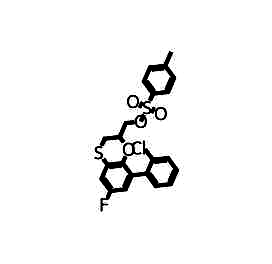 Cc1ccc(S(=O)(=O)OCC2CSc3cc(F)cc(-c4ccccc4Cl)c3O2)cc1